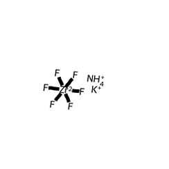 [F][Zr-2]([F])([F])([F])([F])[F].[K+].[NH4+]